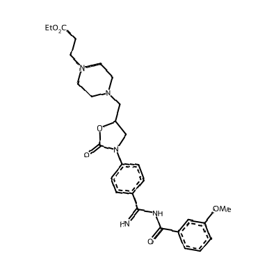 CCOC(=O)CCN1CCN(CC2CN(c3ccc(C(=N)NC(=O)c4cccc(OC)c4)cc3)C(=O)O2)CC1